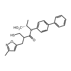 Cc1cc(CC(CS)C(=O)N(c2ccc(-c3ccccc3)cc2)[C@@H](C)C(=O)O)on1